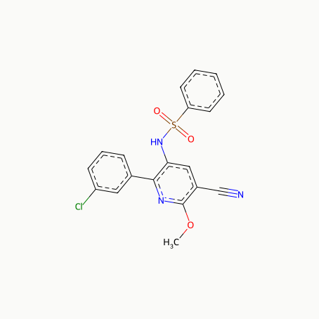 COc1nc(-c2cccc(Cl)c2)c(NS(=O)(=O)c2ccccc2)cc1C#N